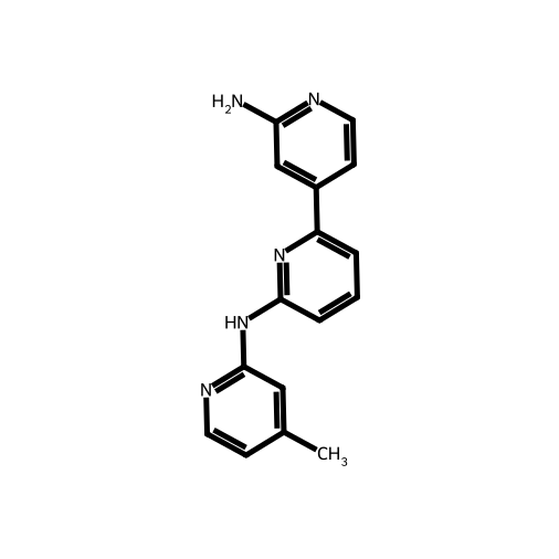 Cc1ccnc(Nc2cccc(-c3ccnc(N)c3)n2)c1